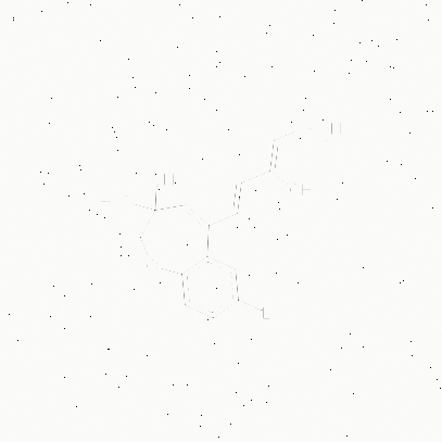 CCc1ccc2c(c1)C(/C=C/C(C)=C/C(=O)O)=CC(C)(C)CO2